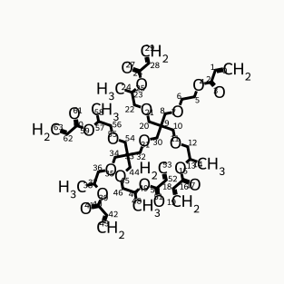 C=CC(=O)OCCOCC(COCC(C)OC(=O)C=C)(COCC(C)OC(=O)C=C)COCC(COCC(C)OC(=O)C=C)(COCC(C)OC(=O)C=C)COCC(C)OC(=O)C=C